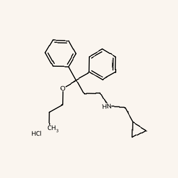 CCCOC(CCNCC1CC1)(c1ccccc1)c1ccccc1.Cl